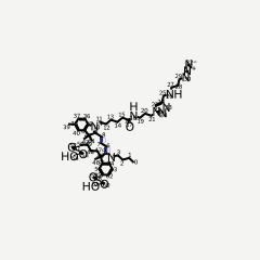 CCCCN1/C(=C/C=C/C2=[N+](CCCCCC(=O)NCCCn3cc(CNCCCN=[N+]=[N-])nn3)c3ccc(C)cc3C2(C)C)C(C)(CCCCS(=O)(=O)O)c2cc(S(=O)(=O)O)ccc21